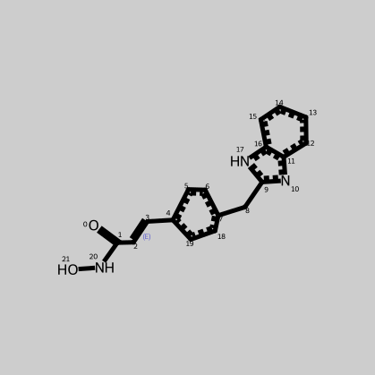 O=C(/C=C/c1ccc(Cc2nc3ccccc3[nH]2)cc1)NO